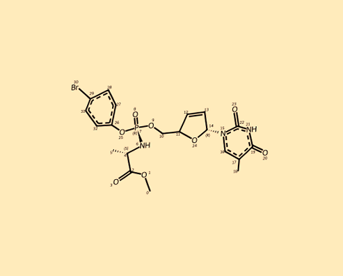 COC(=O)[C@H](C)N[P@@](=O)(OCC1C=C[C@H](n2cc(C)c(=O)[nH]c2=O)O1)Oc1ccc(Br)cc1